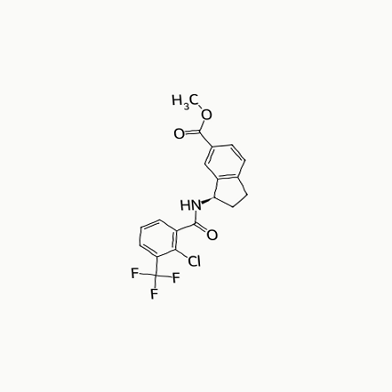 COC(=O)c1ccc2c(c1)[C@H](NC(=O)c1cccc(C(F)(F)F)c1Cl)CC2